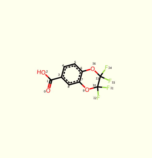 O=C(O)c1ccc2c(c1)OC(F)(F)C(F)(F)O2